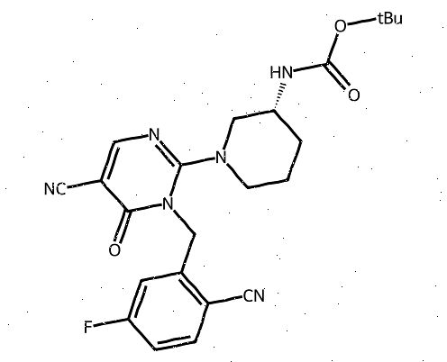 CC(C)(C)OC(=O)N[C@@H]1CCCN(c2ncc(C#N)c(=O)n2Cc2cc(F)ccc2C#N)C1